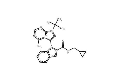 CC(C)(C)n1nc(-n2c(C(=O)NCC3CC3)cc3ccccc32)c2c(N)ncnc21